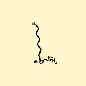 CCC#CCC#CCC#CCC#CCC#CCC#CCCCC1(CCCC)OCC(CCN(C)C)O1